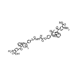 Cc1c(NC(=O)c2ccc(OCC(=O)NCCNC(=O)COc3ccc(C(=O)Nc4c(C)c(C(=O)c5ccc(N)c(C(=O)O)c5)n5ccccc45)cc3)cc2)c2ccccn2c1C(=O)c1ccc(N)c(C(=O)O)c1